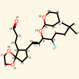 CC(C)(C)CCC(F)C(/C=C/C1CCC2(OCCO2)C1CCC=O)OC1CCCCO1